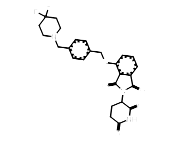 O=C1CCC(N2C(=O)c3cccc(SCc4ccc(CN5CCC(F)(F)CC5)cc4)c3C2=O)C(=O)N1